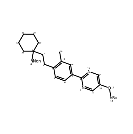 CCCCCCCCCC1(CCc2ccc(-c3ncc(OCCCC)cn3)cc2C)CCCCC1